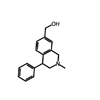 CN1Cc2cc(CO)ccc2C(c2ccccc2)C1